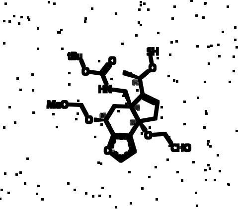 COCO[C@@H]1C[C@]2(CNC(=O)OC(C)(C)C)C([C@@H](C)OS)=CC[C@]2(OCC=O)c2ccoc21